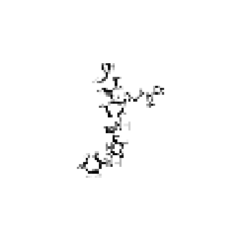 CCN(CC)CCOc1cc(NC(=O)c2csc(Nc3ccccc3)n2)ccc1-c1ccc(C)cc1